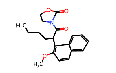 CCCCC(C(=O)N1CCOC1=O)c1c(OC)ccc2ccccc12